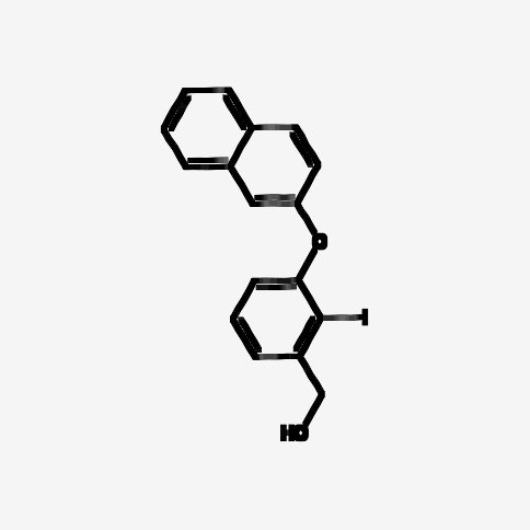 OCc1cccc(Oc2ccc3ccccc3c2)c1I